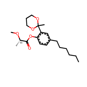 CCCCCCc1ccc(OC(=O)[C@H](C)OC)c(C2(C)OCCCO2)c1